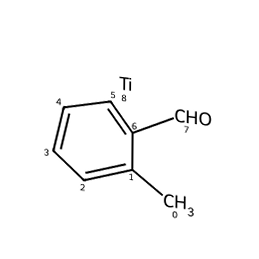 Cc1ccccc1C=O.[Ti]